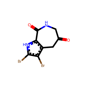 O=C1CNC(=O)c2[nH]c(Br)c(Br)c2C1